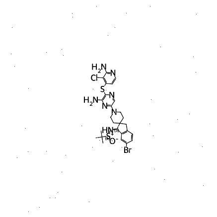 CC(C)(C)[S@@+]([O-])N[C@@H]1c2cc(Br)ccc2CC12CCN(c1cnc(Sc3ccnc(N)c3Cl)c(N)n1)CC2